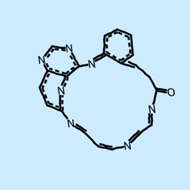 O=C1C/C=c2\cccc\c2=N/c2ncnc3ccc(nc23)/N=C/C=C\N=C\C=N\1